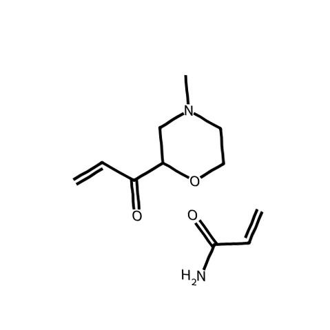 C=CC(=O)C1CN(C)CCO1.C=CC(N)=O